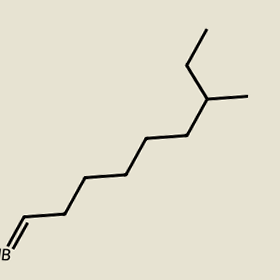 B=CCCCCCC(C)CC